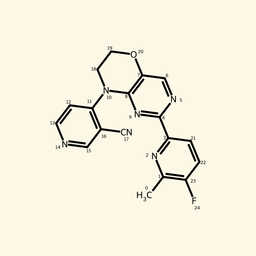 Cc1nc(-c2ncc3c(n2)N(c2ccncc2C#N)CCO3)ccc1F